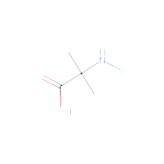 CC(C)(NCl)C(=O)O